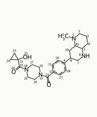 CN1CCCC2NCC(c3ccc(C(=O)N4CCN(C(=O)C5(O)CC5)CC4)cc3)CC21